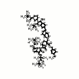 COc1ccc(COC(=O)C2=C(C[n+]3ccc4c(cnn4Cc4ccc(C(=N)N(C(=O)OC(C)(C)C)[C@@H]5CCCN(C(=O)OC(C)(C)C)C5)cc4)c3)CS[C@@H]3[C@H](NC(=O)/C(=N\OC(C)(C)C(=O)OC(C)(C)C)c4csc(NC(=O)OC(C)(C)C)n4)C(=O)N23)cc1.[I-]